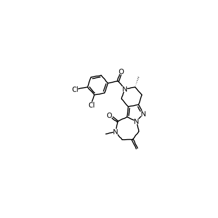 C=C1CN(C)C(=O)c2c3c(nn2C1)C[C@@H](C)N(C(=O)c1ccc(Cl)c(Cl)c1)C3